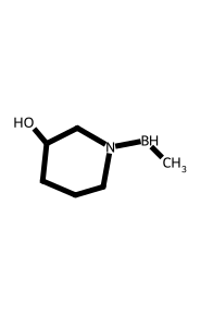 CBN1CCCC(O)C1